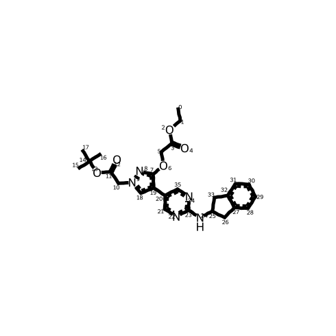 CCOC(=O)COc1nn(CC(=O)OC(C)(C)C)cc1-c1cnc(NC2Cc3ccccc3C2)nc1